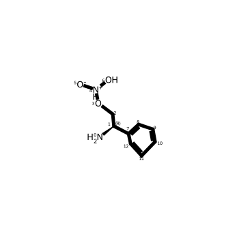 N[C@@H](CO[NH+]([O-])O)c1ccccc1